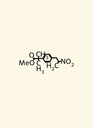 C=C(Cc1ccc(C(C)(C)C(=O)OC)cc1)[N+](=O)[O-]